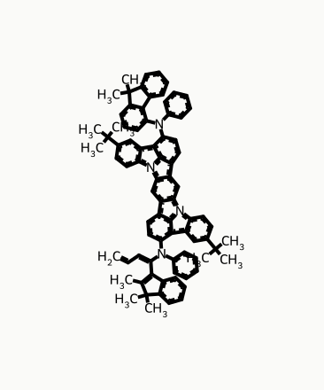 C=C/C=C(\C1=C(C)C(C)(C)c2ccccc21)N(c1ccccc1)c1ccc2c3cc4c(cc3n3c5ccc(C(C)(C)C)cc5c1c23)c1ccc(N(c2ccccc2)c2cccc3c2-c2ccccc2C3(C)C)c2c3cc(C(C)(C)C)ccc3n4c12